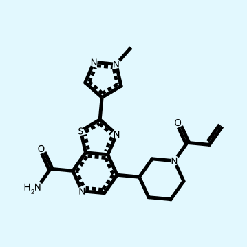 C=CC(=O)N1CCCC(c2cnc(C(N)=O)c3sc(-c4cnn(C)c4)nc23)C1